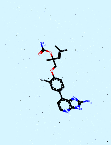 CC(C)=CC(C)(COc1ccc(-c2ccnc3[nH]c(N)nc23)cc1C#N)OC(N)=O